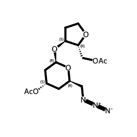 CC(=O)OC[C@H]1OCC[C@@H]1O[C@@H]1C[C@@H](OC(C)=O)C[C@H](CN=[N+]=[N-])O1